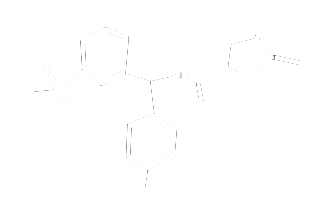 CS(=O)(=O)c1cccc(C(NC(=O)[C@@H]2CNC(=O)O2)c2ccc(Cl)cc2)c1